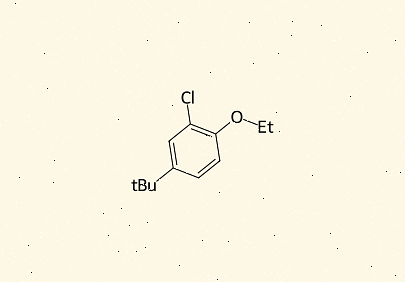 CCOc1ccc(C(C)(C)C)cc1Cl